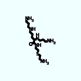 NCCCNCCCC(NCCCN)C(=O)NCCSCCN